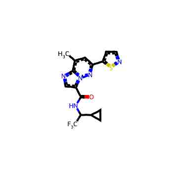 Cc1cc(-c2ccns2)nn2c(C(=O)NC(C3CC3)C(F)(F)F)cnc12